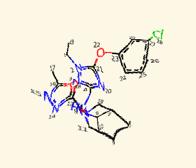 CCn1nc(NC2C3CCC2CN(c2nnc(C)o2)C3)nc1Oc1cccc(Cl)c1